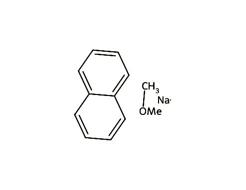 COC.[Na].c1ccc2ccccc2c1